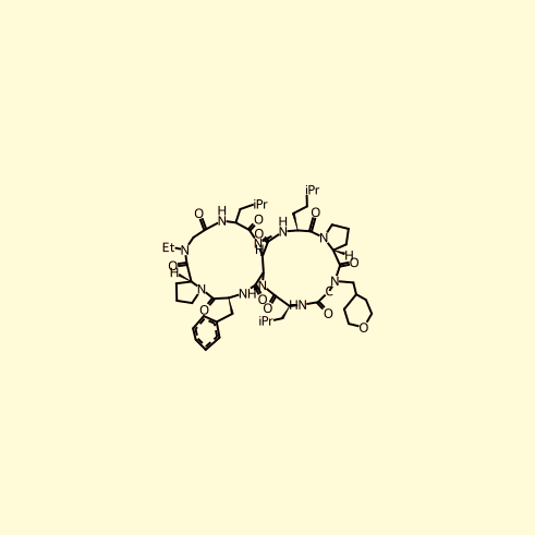 CCN1CC(=O)NC(CC(C)C)C(=O)N(C)[C@@H]2C(=O)N[C@@H](CCC(C)C)C(=O)N3CCC[C@@H]3C(=O)N(CC3CCOCC3)CC(=O)N[C@@H](CC(C)C)C(=O)N(C)C2C(=O)N[C@@H](Cc2ccccc2)C(=O)N2CCC[C@@H]2C1=O